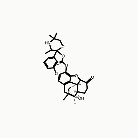 CC1NC(C)(C)COC1(OC(=O)Oc1ccc2c3c1OC1C(=O)CC[C@@]4(O)[C@@H](C2)N(C)CC[C@]314)c1cccc(Cl)c1